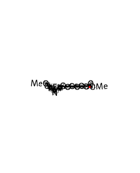 CCc1c(-c2ccc(OCCOCCOCCOCCOCCOCCC(=O)OC)cc2)cncc1-c1ccc(OCOC)cc1